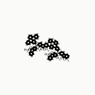 CC1(C)c2ccccc2-c2ccc(N(c3ccc(-c4cccc(-c5ccccc5)c4)c(-c4ccc(-c5ccc6c(c5)C(C)(C)c5cc(N(c7ccc(-c8ccccc8-c8ccccc8)c(-c8ccccc8)c7)c7ccc8c(c7)C(C)(C)c7ccccc7-8)ccc5-6)cc4)c3)c3ccc4c(c3)C(C)(C)c3ccccc3-4)cc21